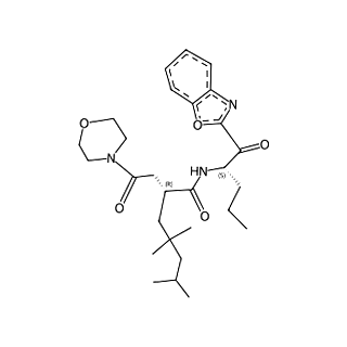 CCC[C@H](NC(=O)[C@@H](CC(=O)N1CCOCC1)CC(C)(C)CC(C)C)C(=O)c1nc2ccccc2o1